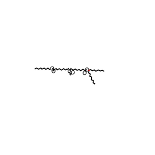 CCCCCCCCCOC(=O)CCCCCCCN(CCCCCCCC(=O)OC(CCCCCCCC)CCCCCCCC)C[C@H](C)OC